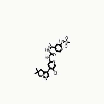 C[C@H](NC(=O)Nc1cc(-c2cnn3c2CC(C)(C)C3)c(Cl)cn1)c1ccnc(NS(C)(=O)=O)c1